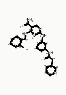 NC(=O)c1cnc(Nc2cccc(NC(=O)Cc3cccnc3)c2)nc1NCc1ccccc1F